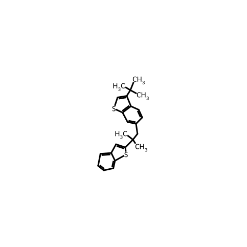 CC(C)(C)c1csc2cc(CC(C)(C)c3cc4ccccc4s3)ccc12